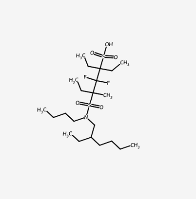 CCCCC(CC)CN(CCCC)S(=O)(=O)C(C)(CC)C(F)(F)C(CC)(CC)S(=O)(=O)O